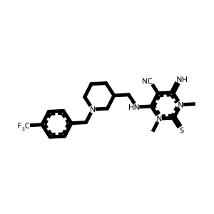 Cn1c(NCC2CCCN(Cc3ccc(C(F)(F)F)cc3)C2)c(C#N)c(=N)n(C)c1=S